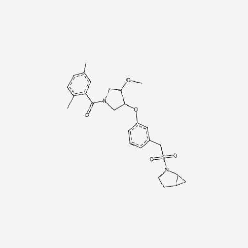 COC1CN(C(=O)c2cc(C)ccc2C)CC1Oc1cccc(CS(=O)(=O)N2CCC3CC32)c1